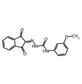 COc1cccc(NC(=O)NN=c2c(=O)c3ccccc3c2=O)c1